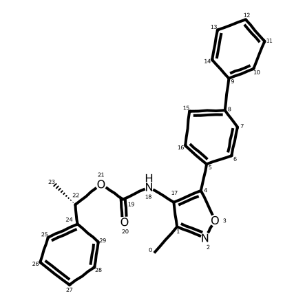 Cc1noc(-c2ccc(-c3ccccc3)cc2)c1NC(=O)O[C@@H](C)c1ccccc1